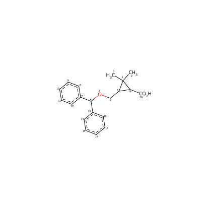 CC1(C)C(COC(c2ccccc2)c2ccccc2)C1C(=O)O